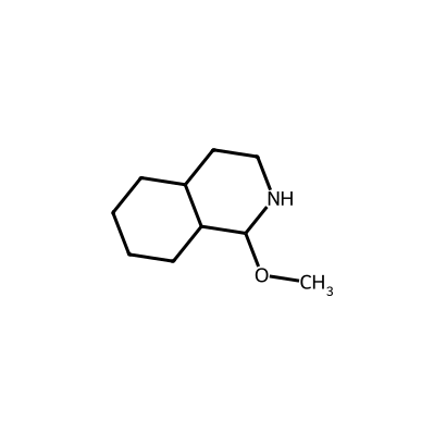 COC1NCCC2CCCCC21